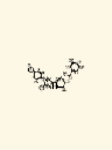 COc1ccc(-n2nc(C3CCCN(CCc4ccccc4)C3)[nH]c2=O)cc1